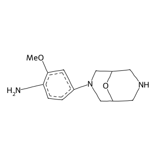 COc1cc(N2CC3CNCC(C2)O3)ccc1N